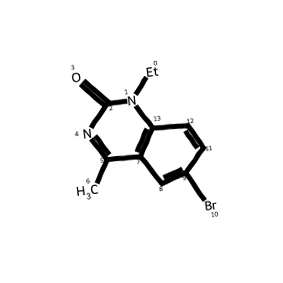 CCn1c(=O)nc(C)c2cc(Br)ccc21